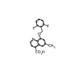 Cc1cc(OCc2c(F)cccc2F)c2nccc(C(=O)O)c2c1